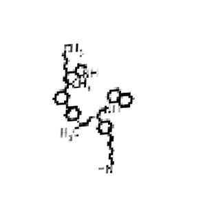 CCCCC(/C=C(\C)C1CCCC(C2=CC[C@@H](C(C)CC[C@H](CN[C@@H]3CCCC4=C3CCCC4)C3C=CC(/C=C/CCC=N)=CC3)CC2)C1)C1CCNC1